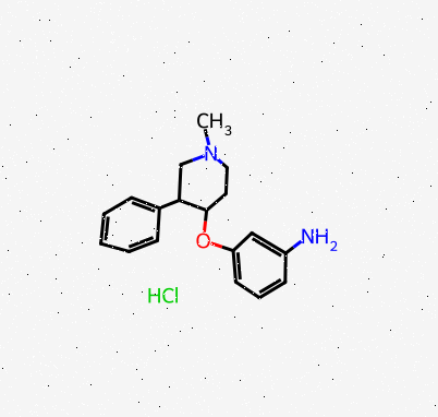 CN1CCC(Oc2cccc(N)c2)C(c2ccccc2)C1.Cl